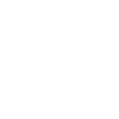 Cc1ccc(S(=O)(=O)O)cc1CC(C)(C)C